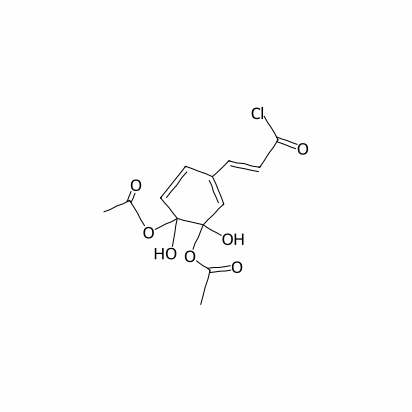 CC(=O)OC1(O)C=CC(C=CC(=O)Cl)=CC1(O)OC(C)=O